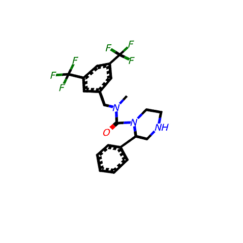 CN(Cc1cc(C(F)(F)F)cc(C(F)(F)F)c1)C(=O)N1CCNCC1c1ccccc1